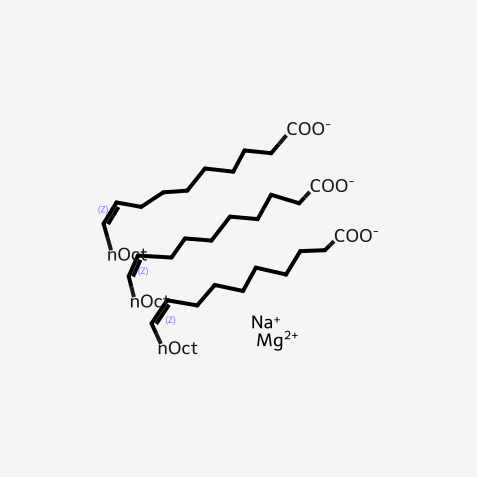 CCCCCCCC/C=C\CCCCCCCC(=O)[O-].CCCCCCCC/C=C\CCCCCCCC(=O)[O-].CCCCCCCC/C=C\CCCCCCCC(=O)[O-].[Mg+2].[Na+]